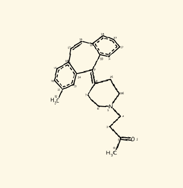 CC(=O)CCN1CCC(=C2c3ccccc3C=Cc3ccc(C)cc32)CC1